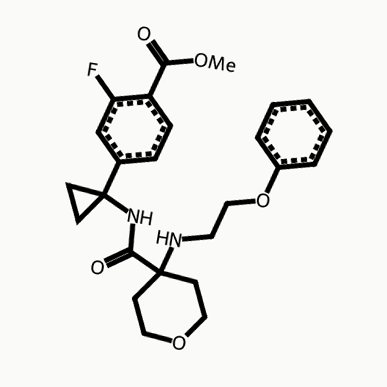 COC(=O)c1ccc(C2(NC(=O)C3(NCCOc4ccccc4)CCOCC3)CC2)cc1F